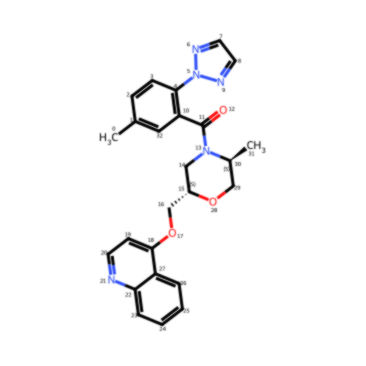 Cc1ccc(-n2nccn2)c(C(=O)N2C[C@@H](COc3ccnc4ccccc34)OC[C@@H]2C)c1